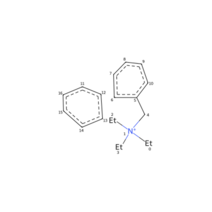 CC[N+](CC)(CC)Cc1ccccc1.c1ccccc1